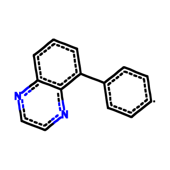 [c]1ccc(-c2cccc3nccnc23)cc1